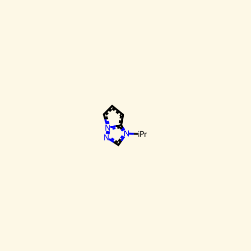 CC(C)n1cnn2cccc12